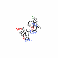 C/C=C\C1/C(=C\CCNCCC(C)N(Cc2ccc(Cl)cc2)C(=O)NC2CCCCC2)c2cc(C(C)(C)O)ccc2OC1N